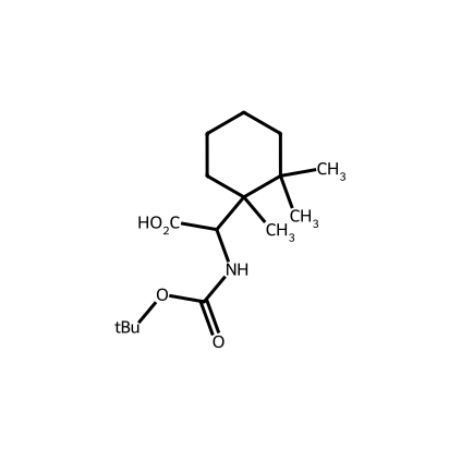 CC(C)(C)OC(=O)NC(C(=O)O)C1(C)CCCCC1(C)C